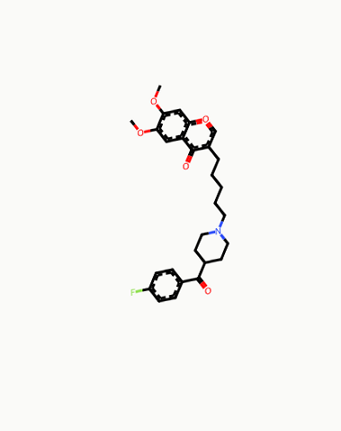 COc1cc2occ(CCCCCN3CCC(C(=O)c4ccc(F)cc4)CC3)c(=O)c2cc1OC